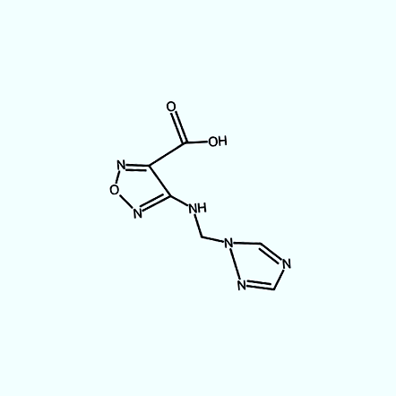 O=C(O)c1nonc1NCn1cncn1